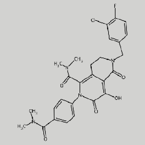 CN(C)C(=O)c1ccc(-n2c(C(=O)N(C)C)c3c(c(O)c2=O)C(=O)N(Cc2ccc(F)c(Cl)c2)CC3)cc1